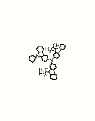 CC1(C)c2ccccc2-c2ccc(N(c3ccc4c(c3)C3C=CC=CC3N4c3ccccc3)c3ccc4c(c3)C(C)(C)C3C=CC=CC43)cc21